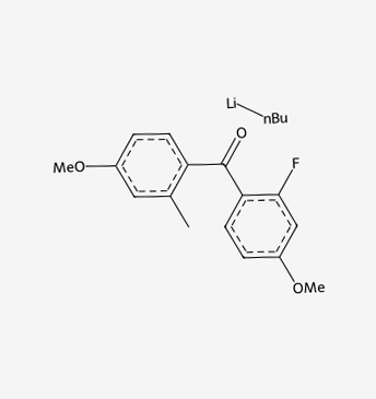 COc1ccc(C(=O)c2ccc(OC)cc2F)c(C)c1.[Li][CH2]CCC